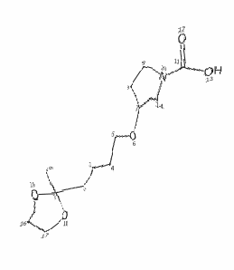 CC1(CCCCOC2CCN(C(=O)O)C2)OCCO1